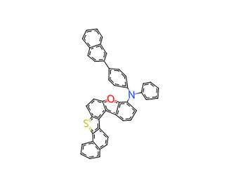 c1ccc(N(c2ccc(-c3ccc4ccccc4c3)cc2)c2cccc3c2oc2ccc4sc5c6ccccc6ccc5c4c23)cc1